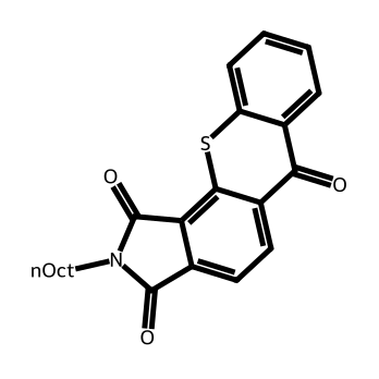 CCCCCCCCN1C(=O)c2ccc3c(=O)c4ccccc4sc3c2C1=O